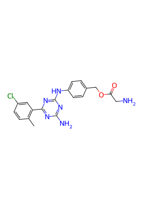 Cc1ccc(Cl)cc1-c1nc(N)nc(Nc2ccc(COC(=O)CN)cc2)n1